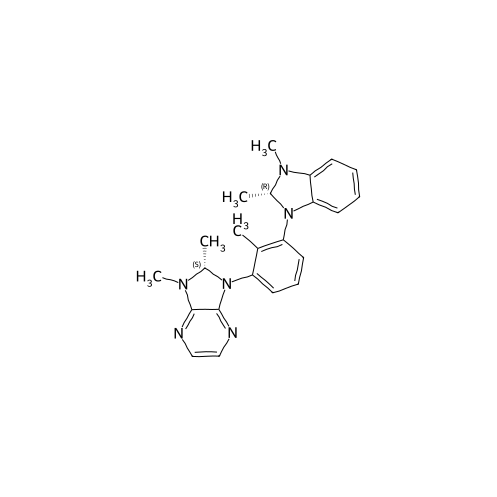 Cc1c(N2c3ccccc3N(C)[C@H]2C)cccc1N1c2nccnc2N(C)[C@@H]1C